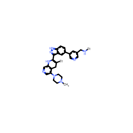 CCNCc1cncc(-c2ccc3[nH]nc(C4=C(CC)Cc5c(cncc5N5CCN(C)CC5)N4)c3c2)c1